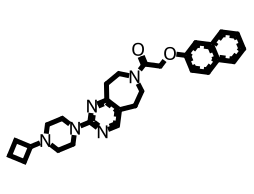 O=C(COc1ccc2ccccc2c1)N1CCc2cnc(N3CCN(C4CCC4)CC3)nc2CC1